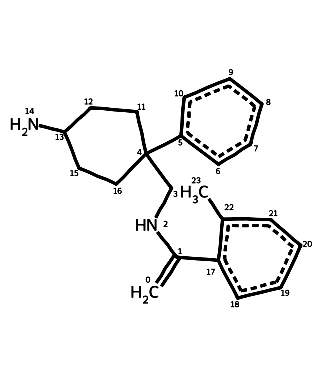 C=C(NCC1(c2ccccc2)CCC(N)CC1)c1ccccc1C